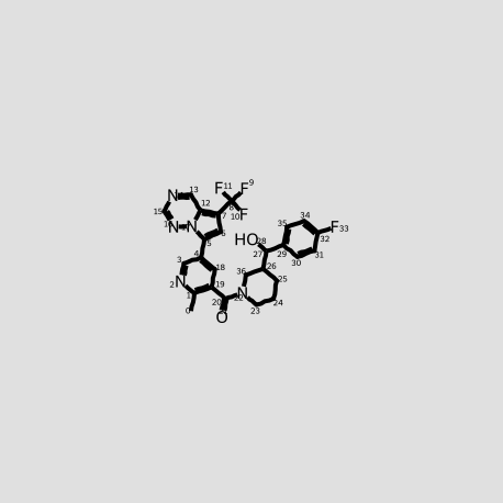 Cc1ncc(-c2cc(C(F)(F)F)c3cncnn23)cc1C(=O)N1CCCC(C(O)c2ccc(F)cc2)C1